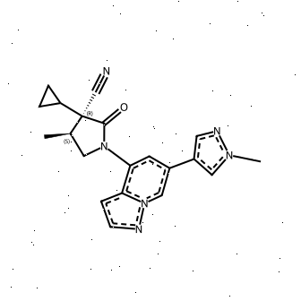 C[C@@H]1CN(c2cc(-c3cnn(C)c3)cn3nccc23)C(=O)[C@]1(C#N)C1CC1